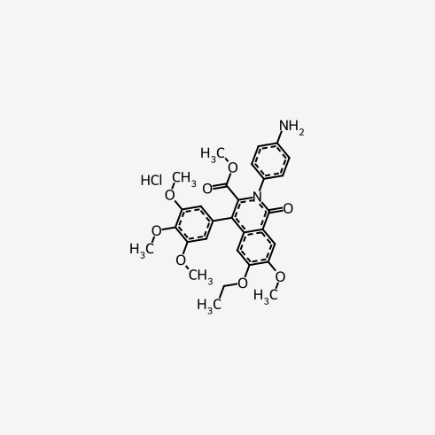 CCOc1cc2c(-c3cc(OC)c(OC)c(OC)c3)c(C(=O)OC)n(-c3ccc(N)cc3)c(=O)c2cc1OC.Cl